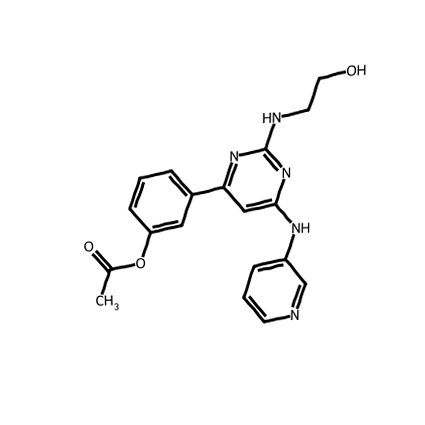 CC(=O)Oc1cccc(-c2cc(Nc3cccnc3)nc(NCCO)n2)c1